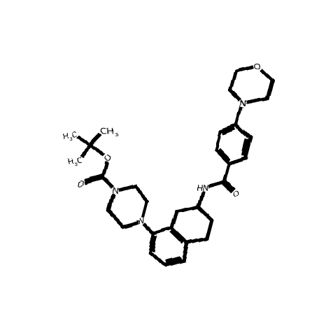 CC(C)(C)OC(=O)N1CCN(c2cccc3c2CC(NC(=O)c2ccc(N4CCOCC4)cc2)CC3)CC1